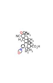 CC1(C)CC2C3=C(c4ccc(N5CCOCC5)cc4)CC4C5(C)CC(C#N)C(=O)C(C)(C)C5CCC4(C)C3(C)CCC2[C@H](C(=O)O)C1